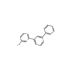 [CH2]c1cccc(-c2cccc(-c3ccccc3)c2)c1